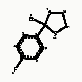 [CH2]CC1(c2ccc(F)cc2)SCCS1